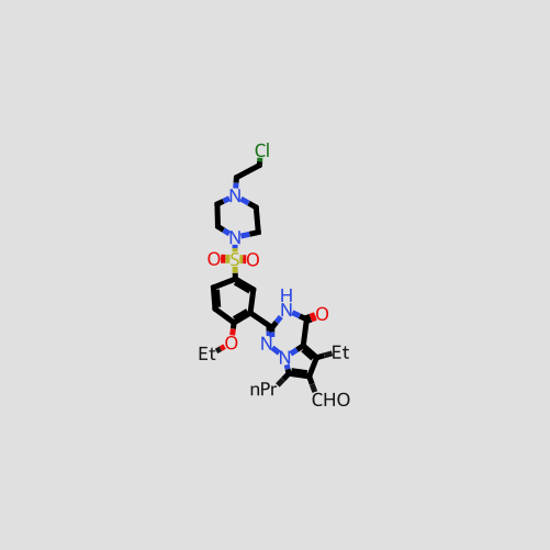 CCCc1c(C=O)c(CC)c2c(=O)[nH]c(-c3cc(S(=O)(=O)N4CCN(CCCl)CC4)ccc3OCC)nn12